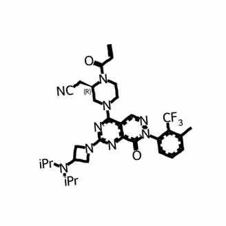 C=CC(=O)N1CCN(c2nc(N3CC(N(C(C)C)C(C)C)C3)nc3c(=O)n(-c4cccc(C)c4C(F)(F)F)ncc23)C[C@H]1CC#N